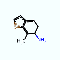 CC1=c2sccc2=CCC1N